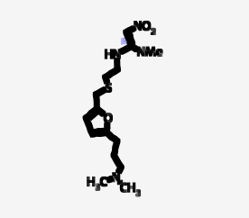 CN/C(=C\[N+](=O)[O-])NCCSCc1ccc(CCCN(C)C)o1